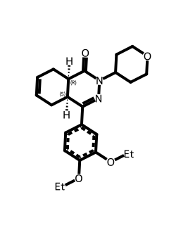 CCOc1ccc(C2=NN(C3CCOCC3)C(=O)[C@@H]3CC=CC[C@H]23)cc1OCC